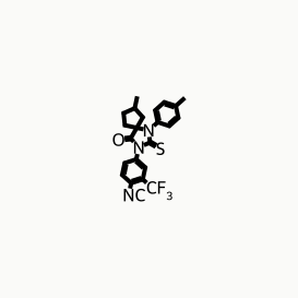 [C-]#[N+]c1ccc(N2C(=O)C3(CCC(C)C3)N(c3ccc(C)cc3)C2=S)cc1C(F)(F)F